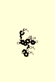 C[C@@H](COc1ccnc2c1[C@H](C)CCC2)C[C@H]1Cc2cc(Cl)c(OCCC3CCN(C)CC3)cc2C12CCC(Nc1cccc(Cl)c1)(C(=O)O)CC2